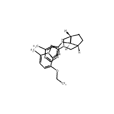 Cc1cc(N2C[C@H]3CC[C@@H](C2)[C@@H]3Nc2nc3c(OCC(F)(F)F)ccc(C(F)(F)F)n3n2)ncn1